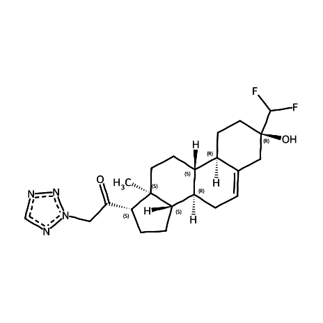 C[C@]12CC[C@H]3[C@@H](CC=C4C[C@@](O)(C(F)F)CC[C@@H]43)[C@@H]1CC[C@@H]2C(=O)Cn1ncnn1